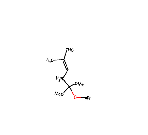 CCCOC(OC)(OC)[SiH2]C=C(C)C=O